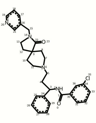 O=C(NC(CCN1CCC2(CC1)CCN(Cc1cccnc1)C2=O)c1ccccc1)c1cccc(Cl)c1